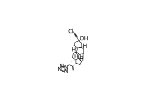 C=C(Cn1ncnn1)[C@H]1CC[C@H]2[C@@H]3CC[C@@H]4C[C@@](O)(C#CCl)CC[C@@H]4[C@H]3CC[C@]12C